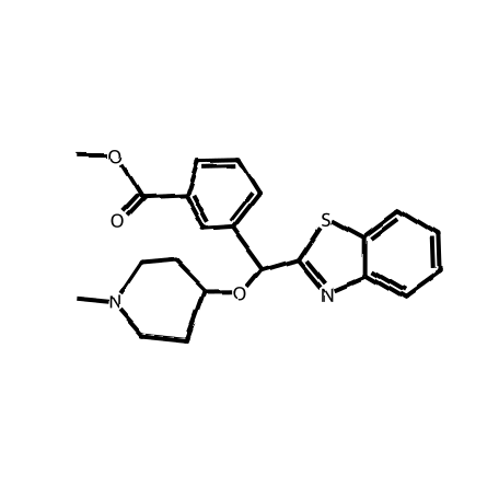 COC(=O)c1cccc(C(OC2CCN(C)CC2)c2nc3ccccc3s2)c1